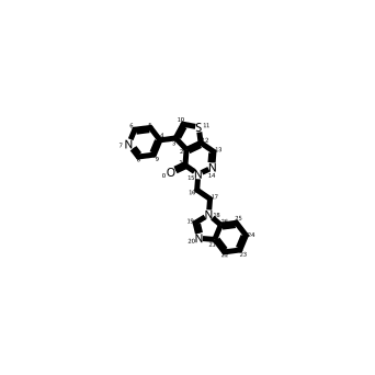 O=c1c2c(-c3ccncc3)csc2cnn1CCn1cnc2ccccc21